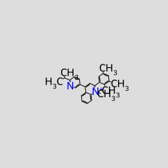 Cc1cc(C)c(C)c(-c2cc(-c3ccc(C(C)C)nc3)c3ccccc3[n+]2C)c1